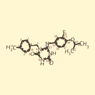 Cc1ccc(Cn2c(=O)[nH]c(=O)[nH]/c2=N\c2ccc(OC(C)C)c(F)c2)cc1